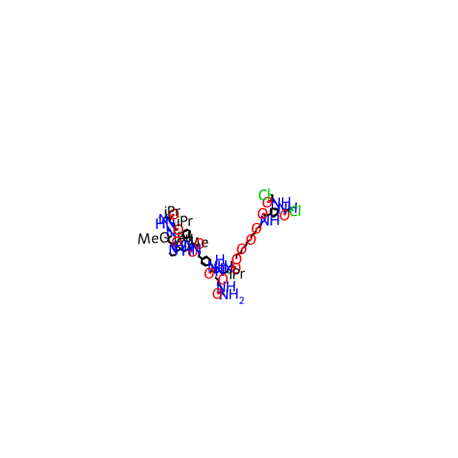 CC[C@H](C)[C@@H]([C@@H](CC(=O)N1CCC[C@H]1[C@H](OC)[C@@H](C)C(=O)N[C@H](Cc1ccccc1)C(=O)NCCc1ccc(NC(=O)[C@@H](CCCNC(N)=O)NC(=O)[C@@H](NC(=O)COCCOCCOCCOCCNC(=O)c2ccc(NC(=O)CCl)c(NC(=O)CCl)c2)C(C)C)cc1)OC)N(C)C(=O)[C@H](NC(=O)[C@H](C(C)C)N(C)C)C(C)C